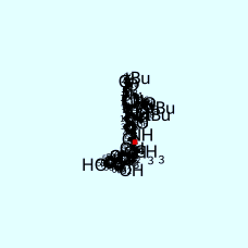 CC(CCC(=O)Nc1ccc(CC(CN2CCN(CC(=O)OC(C)(C)C)CCN(CC(=O)OC(C)(C)C)CC2)NCC(=O)OC(C)(C)C)cc1)C1CCC2C3C(C[C@H](O)[C@]12C)[C@@]1(C)CC[C@@H](O)CC1C[C@H]3O